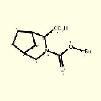 CC(C)(C)OC(=O)N1CC2CCC(C2)C1C(=O)O